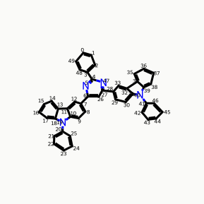 c1ccc(-c2nc(-c3ccc4c(c3)c3ccccc3n4-c3ccccc3)cc(-c3ccc4c(c3)c3ccccc3n4-c3ccccc3)n2)cc1